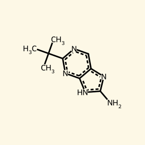 CC(C)(C)c1ncc2nc(N)[nH]c2n1